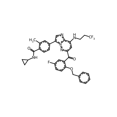 Cc1cc(-c2cnc3c(NCCC(F)(F)F)cc(C(=O)c4cc(F)ccc4OCc4ccccc4)nn23)ccc1C(=O)NC1CC1